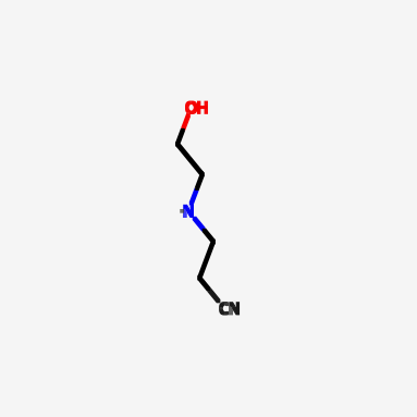 N#CCC[N]CCO